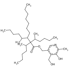 CCCCCCCC(C(C)CCCC)C(C(=O)OCc1cnc(C)c(O)c1CO)(C(C)CCCC)C(C)CCCC